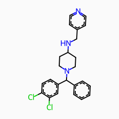 Clc1ccc(C(c2ccccc2)N2CCC(NCc3ccncc3)CC2)cc1Cl